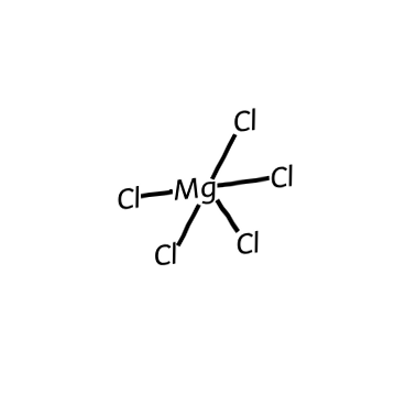 [Cl][Mg]([Cl])([Cl])([Cl])[Cl]